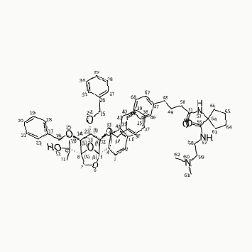 Cc1ccc([C@]23OC[C@](C(C)(C)O)(O2)[C@@H](OCc2ccccc2)[C@H](OCc2ccccc2)[C@H]3OCc2ccccc2)cc1Cc1ccc(CCCC(=O)NC2(C(=O)NCCN(C)C)CCCC2)cc1